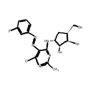 Cc1nc(Cl)c(/N=N/c2cccc(F)c2)c(N[C@@H]2C[C@H](CO)[C@@H](O)[C@H]2O)n1